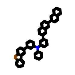 c1ccc(N(c2cccc(-c3ccc4ccc(-c5ccc6ccccc6c5)cc4c3)c2)c2cccc(-c3ccc4sc5ccccc5c4c3)c2)cc1